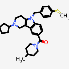 CSc1ccc(Cn2c3c(c4cc(C(=O)N5CCC(C)CC5)ccc42)CN(C2CCCC2)CC3)cc1